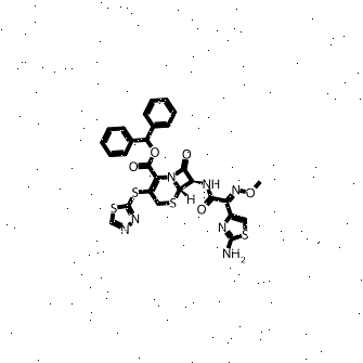 CON=C(C(=O)N[C@@H]1C(=O)N2C(C(=O)OC(c3ccccc3)c3ccccc3)=C(Sc3nncs3)CS[C@@H]12)c1csc(N)n1